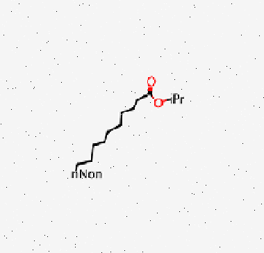 CCCCCCCCCCCCCCCCCCC(=O)OC(C)C